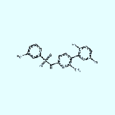 Cc1nc(NS(=O)(=O)c2cccc(C(F)(F)F)c2)ccc1-c1cc(Cl)ccc1Cl